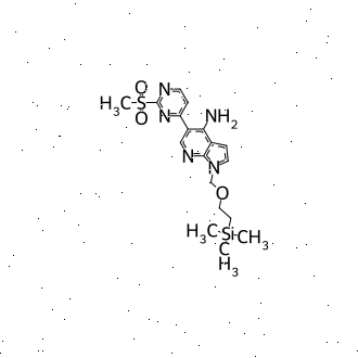 C[Si](C)(C)CCOCn1ccc2c(N)c(-c3ccnc(S(C)(=O)=O)n3)cnc21